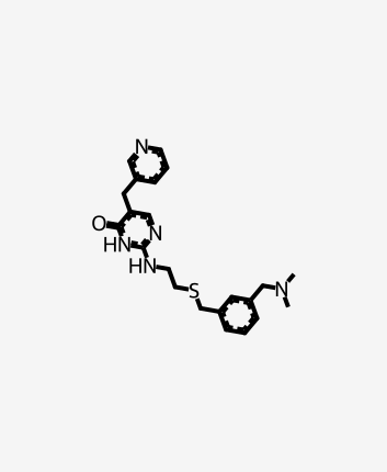 CN(C)Cc1cccc(CSCCNc2ncc(Cc3cccnc3)c(=O)[nH]2)c1